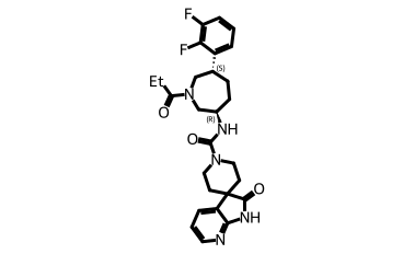 CCC(=O)N1C[C@H](NC(=O)N2CCC3(CC2)C(=O)Nc2ncccc23)CC[C@@H](c2cccc(F)c2F)C1